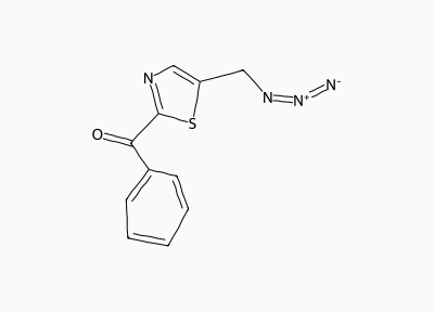 [N-]=[N+]=NCc1cnc(C(=O)c2ccccc2)s1